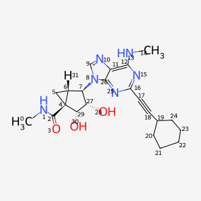 CNC(=O)[C@@]12C[C@@H]1[C@@H](n1cnc3c(NC)nc(C#CC4CCCCC4)nc31)[C@H](O)[C@@H]2O